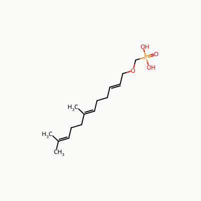 CC(C)=CCC/C(C)=C/CC/C=C/COCP(=O)(O)O